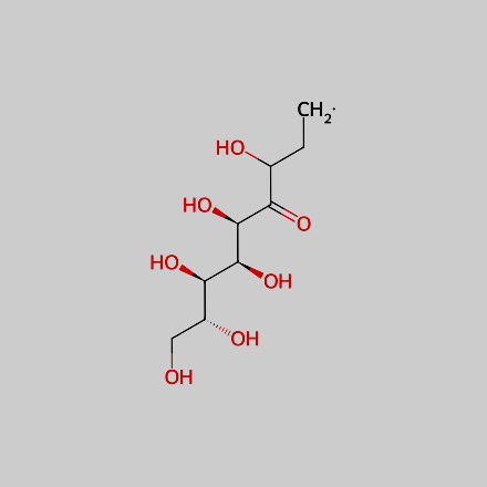 [CH2]CC(O)C(=O)[C@H](O)[C@@H](O)[C@H](O)[C@H](O)CO